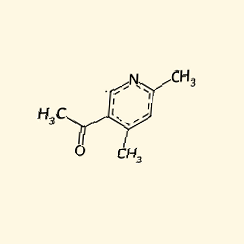 CC(=O)c1[c]nc(C)cc1C